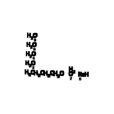 O.O.O.O.O.O.O.O.O.[NaH]